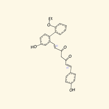 CCOc1ccccc1-c1ccc(O)cc1/C=C/C(=O)CC(=O)/C=C/c1ccc(O)cc1